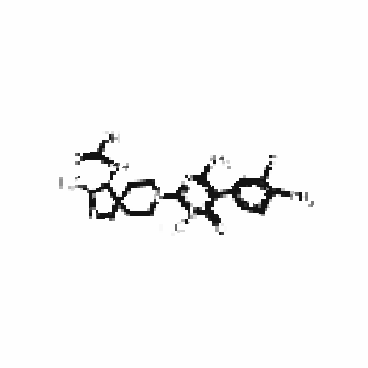 Cc1ccc(-c2c(N)nc(N3CCC4(CC3)CO[C@@H](C)[C@H]4NC(=O)O)n(C)c2=O)cc1Cl